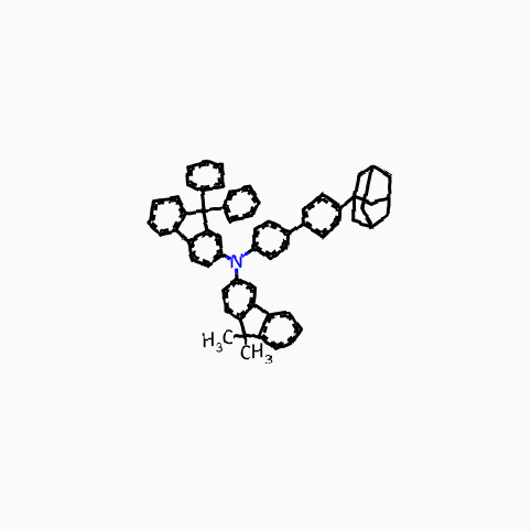 CC1(C)c2ccccc2-c2cc(N(c3ccc(-c4ccc(C56CC7CC(CC(C7)C5)C6)cc4)cc3)c3ccc4c(c3)C(c3ccccc3)(c3ccccc3)c3ccccc3-4)ccc21